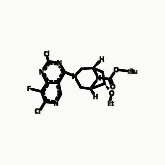 CCO[C@H]1C[C@H]2CN(c3nc(Cl)nc4c(F)c(Cl)ncc34)C[C@@H]1N2C(=O)OC(C)(C)C